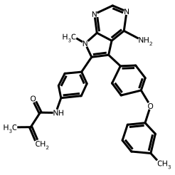 C=C(C)C(=O)Nc1ccc(-c2c(-c3ccc(Oc4cccc(C)c4)cc3)c3c(N)ncnc3n2C)cc1